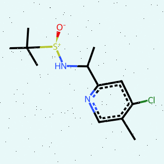 Cc1cnc(C(C)N[S@+]([O-])C(C)(C)C)cc1Cl